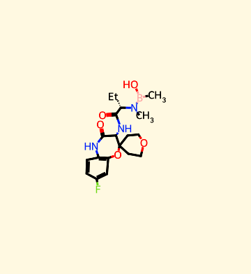 CC[C@@H](C(=O)N[C@@H]1C(=O)Nc2ccc(F)cc2OC12CCOCC2)N(C)B(C)O